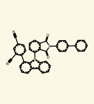 N#Cc1ccc(-c2cccc3c4ccccc4n(-c4cccc5c4C(=O)N(c4ccc(-c6ccccc6)cc4)C5=O)c23)c(C#N)c1